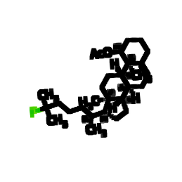 CC(=O)O[C@H]1CCCC2=CC[C@H]3[C@@H]4CC[C@H]([C@H](C)CCCC(C)(C)F)[C@@]4(C)CC[C@@H]3[C@]21C